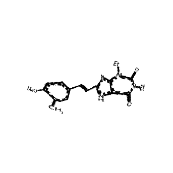 CCn1c(=O)c2[nH]c(C=Cc3ccc(OC)c(C)c3)nc2n(CC)c1=O